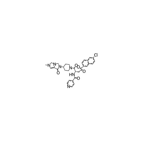 CN1C=C2C(=O)N(C3CCN(C(=O)[C@@H](CS(=O)(=O)c4ccc5cc(Cl)ccc5c4)NC(=O)c4ccncc4)CC3)CN2C1